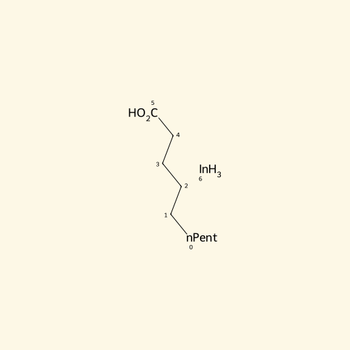 CCCCCCCCCC(=O)O.[InH3]